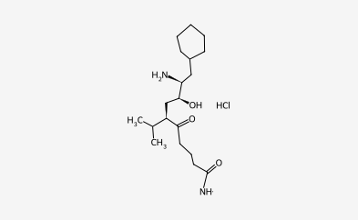 CC(C)[C@@H](C[C@H](O)[C@@H](N)CC1CCCCC1)C(=O)CCCC([NH])=O.Cl